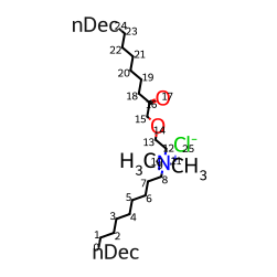 CCCCCCCCCCCCCCCCCC[N+](C)(C)CCOCC(=O)CCCCCCCCCCCCCCCC.[Cl-]